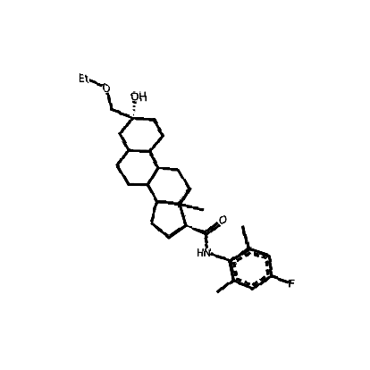 CCOC[C@@]1(O)CCC2C(CCC3C2CCC2(C)C3CC[C@@H]2C(=O)Nc2c(C)cc(F)cc2C)C1